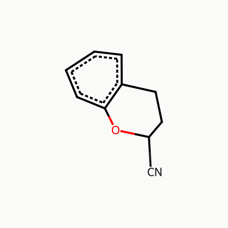 N#CC1CCc2ccccc2O1